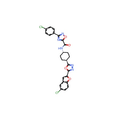 O=C(N[C@H]1CC[C@H](c2nnc(-c3cc4cc(Cl)ccc4o3)o2)CC1)c1nc(-c2ccc(Cl)cc2)no1